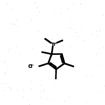 CC1=C[C](C)([Ti+]([CH3])[CH3])C(C)=C1C.[Cl-]